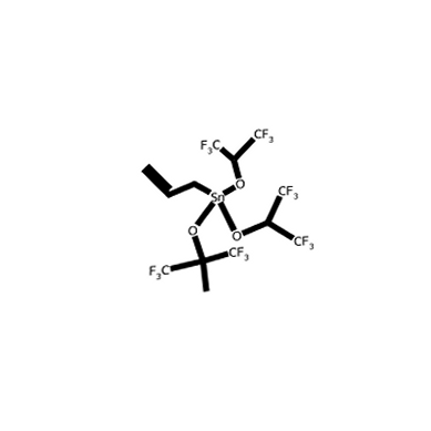 C=C[CH2][Sn]([O]C(C(F)(F)F)C(F)(F)F)([O]C(C(F)(F)F)C(F)(F)F)[O]C(C)(C(F)(F)F)C(F)(F)F